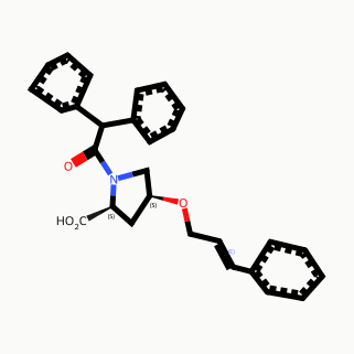 O=C(O)[C@@H]1C[C@H](OC/C=C/c2ccccc2)CN1C(=O)C(c1ccccc1)c1ccccc1